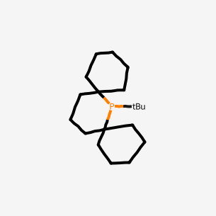 CC(C)(C)P1C2(CCCCC2)CCCC12CCCCC2